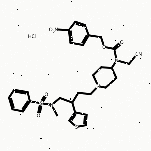 CN(CC(CCN1CCC(N(CC#N)C(=O)OCc2ccc([N+](=O)[O-])cc2)CC1)c1ccsc1)S(=O)(=O)c1ccccc1.Cl